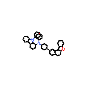 c1ccc(N(c2ccc(-c3ccc4ccc5oc6ccccc6c5c4c3)cc2)c2cccc3c4ccccc4n(-c4ccccc4)c23)cc1